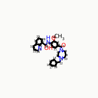 COc1cc(C(=O)N2CCCN(Cc3ccccc3)CC2)ccc1NC(O)c1cccc2cccnc12